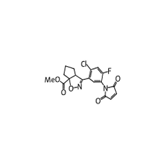 COC(=O)C12CCCC1C(c1cc(N3C(=O)C=CC3=O)c(F)cc1Cl)=NO2